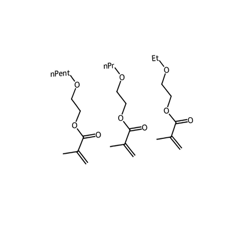 C=C(C)C(=O)OCCOCC.C=C(C)C(=O)OCCOCCC.C=C(C)C(=O)OCCOCCCCC